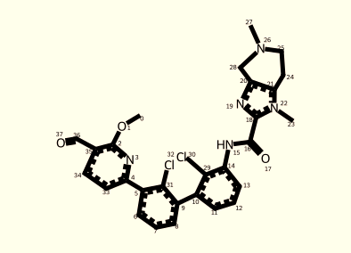 COc1nc(-c2cccc(-c3cccc(NC(=O)c4nc5c(n4C)CCN(C)C5)c3Cl)c2Cl)ccc1C=O